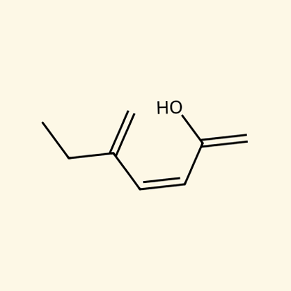 C=C(O)/C=C\C(=C)CC